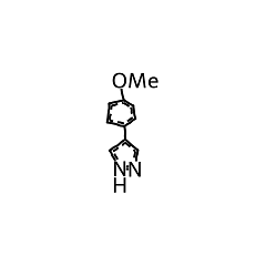 COc1ccc(-c2cn[nH]c2)cc1